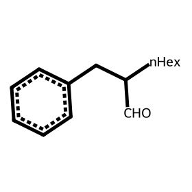 CCCCCCC(C=O)Cc1ccccc1